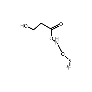 [3H]SONOC(=O)CCO